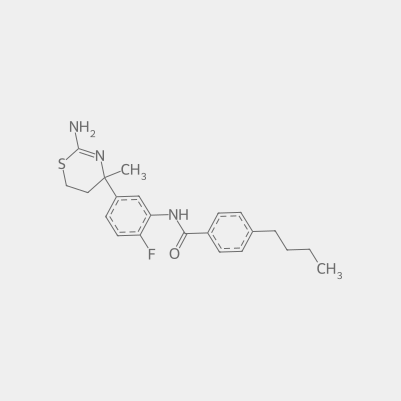 CCCCc1ccc(C(=O)Nc2cc(C3(C)CCSC(N)=N3)ccc2F)cc1